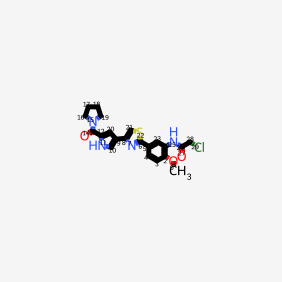 COc1ccc(-c2nc(-c3c[nH]c(C(=O)N4CCCC4)c3)cs2)cc1NC(=O)CCl